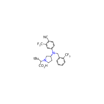 CC(C)(C)C(C(=O)O)N1CC[C@H](N(Cc2ccccc2C(F)(F)F)c2ccc(C#N)c(C(F)(F)F)c2)C1